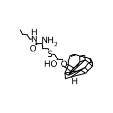 CCCCNC(=O)C(N)CCSCC(O)COC12C/C=C\C34C=C5C6C7C8[C@@H]9CC%10%11C89C78C56C5(C3)C43CC1C3(C2%10C)C%1158